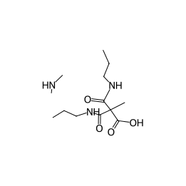 CCCNC(=O)C(C)(C(=O)O)C(=O)NCCC.CNC